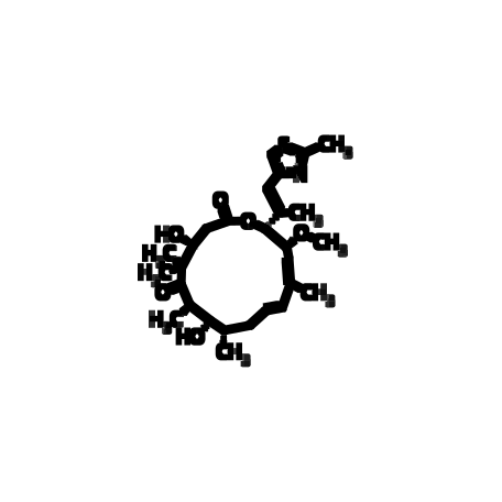 CO[C@H]1/C=C(C)\C=C\C[C@H](C)[C@H](O)[C@@H](C)C(=O)C(C)(C)[C@@H](O)CC(=O)O[C@@H]1/C(C)=C/c1csc(C)n1